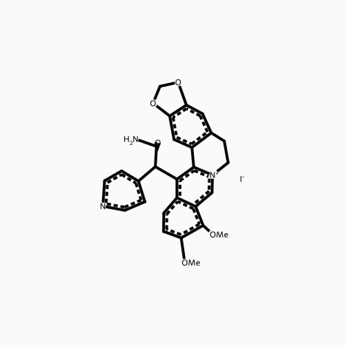 COc1ccc2c(C(C(N)=O)c3ccncc3)c3[n+](cc2c1OC)CCc1cc2c(cc1-3)OCO2.[I-]